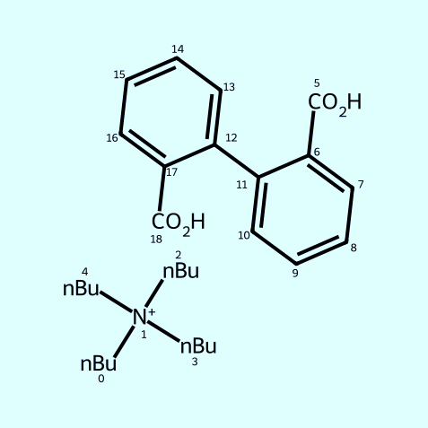 CCCC[N+](CCCC)(CCCC)CCCC.O=C(O)c1ccccc1-c1ccccc1C(=O)O